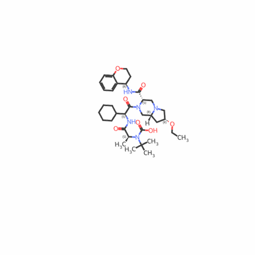 CCO[C@@H]1C[C@@H]2CN(C(=O)[C@@H](NC(=O)[C@H](C)N(C(=O)O)C(C)(C)C)C3CCCCC3)[C@H](C(=O)N[C@@H]3CCOc4ccccc43)CN2C1